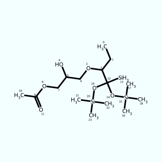 CCC(OCC(O)COC(C)=O)C([SiH3])(O[Si](C)(C)C)O[Si](C)(C)C